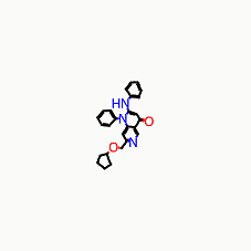 O=c1cc(Nc2ccccc2)n(-c2ccccc2)c2cc(COC3CCCC3)ncc12